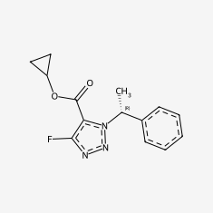 C[C@H](c1ccccc1)n1nnc(F)c1C(=O)OC1CC1